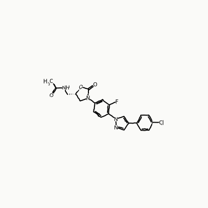 CC(=O)NC[C@H]1CN(c2ccc(-n3cc(-c4ccc(Cl)cc4)cn3)c(F)c2)C(=O)O1